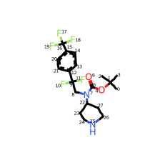 CC(C)(C)OC(=O)N(CC(F)(F)c1ccc(C(F)(F)F)cc1)C1CCNCC1